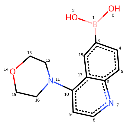 OB(O)c1ccc2nccc(N3CCOCC3)c2c1